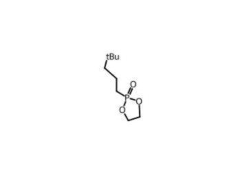 CC(C)(C)CCCP1(=O)OCCO1